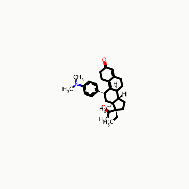 CC[C@]1(C(C)=O)CC[C@H]2[C@@H]3CCC4=CC(=O)CCC4=C3[C@@H](c3ccc(N(C)C)cc3)C[C@@]21C